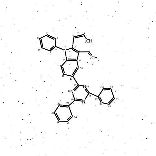 C=Cc1c(/C=C\C)n(-c2ccccc2)c2ccc(-c3nc(-c4ccccc4)nc(-c4ccccc4)n3)cc12